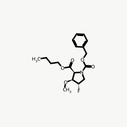 CCCCOC(=O)[C@@H]1[C@H](OC)[C@@H](F)CN1C(=O)OCc1ccccc1